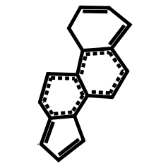 [C]1=c2ccc3c4c(ccc3c2C=C1)=CC=CC4